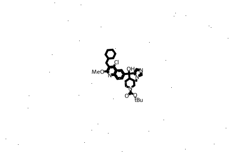 COc1nc2ccc(C(O)(c3cncn3C)C3CCN(C(=O)OC(C)(C)C)CC3)cc2c(Cl)c1CC1CCCCC1